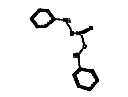 O=[PH](ONc1ccccc1)ONc1ccccc1